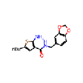 CCCCc1cc(C(=O)NCc2ccc3c(c2)OCO3)c(N)s1